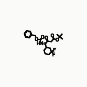 CC(C)(C)OC(=O)CC(=O)[C@@H](NC(=O)OCc1ccccc1)C1CCCC(F)(F)C1